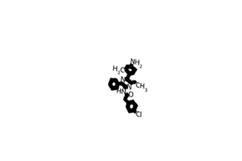 CCc1nc(NC(=O)Cc2ccc(Cl)cc2)c(-c2ccccc2)nc1-c1ccc(N)cc1C